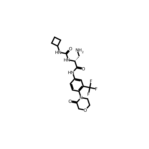 NC[C@@H](NC(=O)NC1CCC1)C(=O)Nc1ccc(N2CCOCC2=O)c(C(F)(F)F)c1